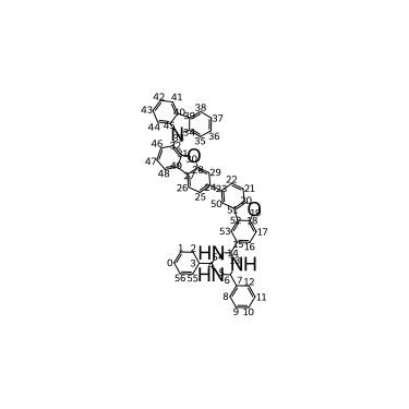 C1=CCC(C2NC(c3ccccc3)NC(c3ccc4oc5ccc(-c6ccc7c(c6)oc6c(-n8c9ccccc9c9ccccc98)cccc67)cc5c4c3)N2)C=C1